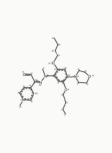 CCCCOc1cc(N(C)/N=C(\C=O)c2cc[n+](C)cc2)c(OCCCC)cc1N1CCOCC1